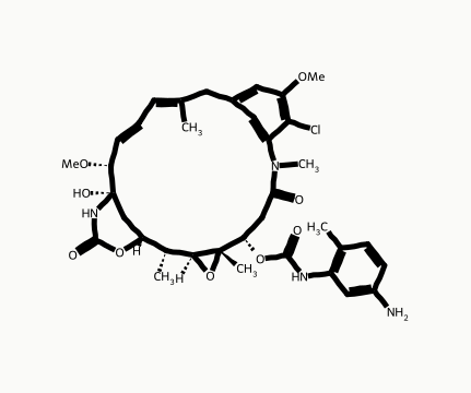 COc1cc2cc(c1Cl)N(C)C(=O)C[C@H](OC(=O)Nc1cc(N)ccc1C)[C@]1(C)O[C@H]1[C@H](C)[C@@H]1C[C@@](O)(NC(=O)O1)[C@H](OC)/C=C/C=C(\C)C2